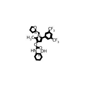 Cc1c(OC(=O)N[C@@H]2CCCC[C@H]2O)cc(-c2cc(C(F)(F)F)cc(C(F)(F)F)c2)n1C[C@H]1CCCO1